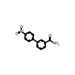 NC(=O)c1cccc(-c2ccc([N+](=O)[O-])cc2)c1